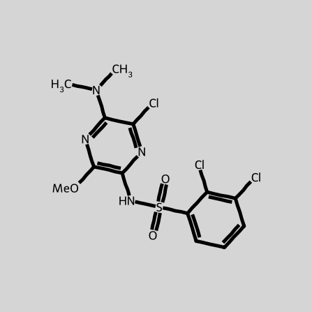 COc1nc(N(C)C)c(Cl)nc1NS(=O)(=O)c1cccc(Cl)c1Cl